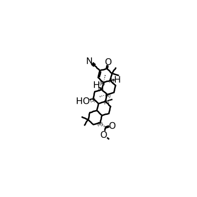 COC(=O)[C@@H]1CC(C)(C)CC2C1CC[C@]1(C)C2[C@@H](O)C[C@@H]2[C@@]3(C)C=C(C#N)C(=O)C(C)(C)[C@@H]3CC[C@]21C